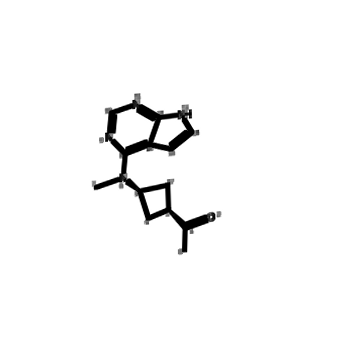 CC(=O)[C@H]1C[C@@H](N(C)c2ncnc3[nH]ccc23)C1